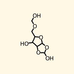 OCOCC1OC2OC(O)OC2C1O